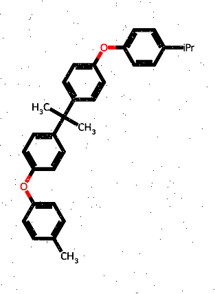 Cc1ccc(Oc2ccc(C(C)(C)c3ccc(Oc4ccc(C(C)C)cc4)cc3)cc2)cc1